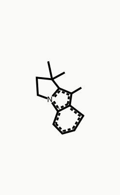 Cc1c2n(c3ccccc13)CCC2(C)C